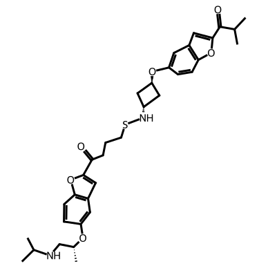 CC(C)NC[C@@H](C)Oc1ccc2oc(C(=O)CCCSN[C@H]3C[C@H](Oc4ccc5oc(C(=O)C(C)C)cc5c4)C3)cc2c1